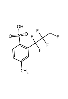 Cc1ccc(S(=O)(=O)O)c(C(F)(F)C(F)(F)CF)c1